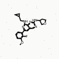 COc1cccc(-c2cc3cnc(NC4CCOC4)nc3c(NCC3CC3)n2)c1F